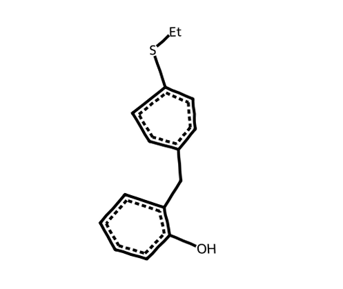 CCSc1ccc(Cc2ccccc2O)cc1